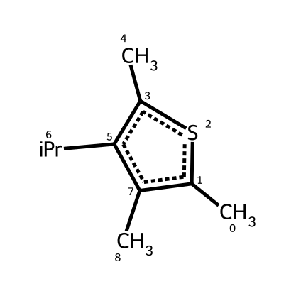 Cc1sc(C)c(C(C)C)c1C